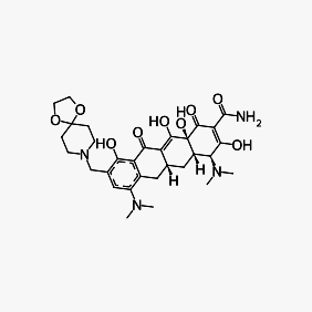 CN(C)c1cc(CN2CCC3(CC2)OCCO3)c(O)c2c1C[C@H]1C[C@H]3[C@H](N(C)C)C(O)=C(C(N)=O)C(=O)[C@@]3(O)C(O)=C1C2=O